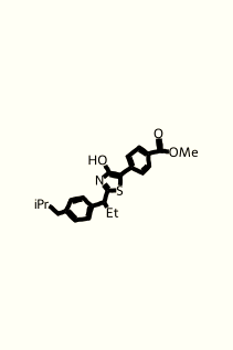 CCC(c1ccc(CC(C)C)cc1)c1nc(O)c(-c2ccc(C(=O)OC)cc2)s1